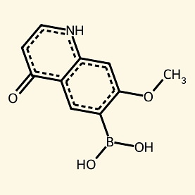 COc1cc2[nH]ccc(=O)c2cc1B(O)O